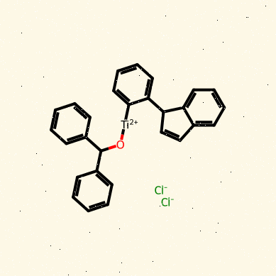 C1=CC(c2cccc[c]2[Ti+2][O]C(c2ccccc2)c2ccccc2)c2ccccc21.[Cl-].[Cl-]